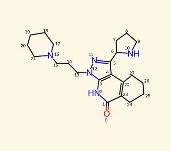 O=c1[nH]c2c(c(C3CCCN3)nn2CCCN2CCCCC2)c2c1CCCC2